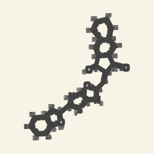 O=C1C(=Cc2nc3sc(-c4cc5ccccc5o4)nc3o2)C(=O)c2cc3ccccc3cc21